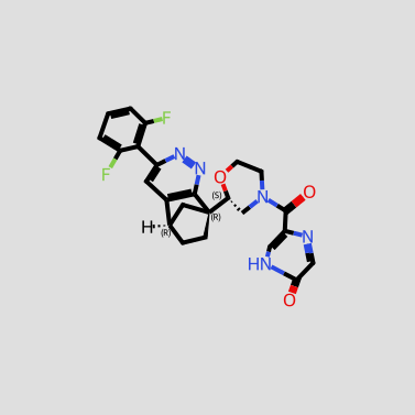 O=C(c1c[nH]c(=O)cn1)N1CCO[C@@H]([C@]23CC[C@H](C2)c2cc(-c4c(F)cccc4F)nnc23)C1